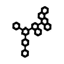 c1ccc(-c2ccc(-c3cc(-c4ccc(-c5c6ccccc6cc6c5ccc5ccccc56)c5ccccc45)nc(-c4ccccc4)n3)cc2)cc1